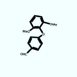 COc1cccc(OC)c1Oc1ccc(C=O)cc1